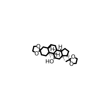 CC1([C@H]2CC[C@H]3[C@@H]4CC=C5CC6(CC[C@]5(C)[C@H]4[C@@H](O)C[C@]23C)OCCO6)OCCO1